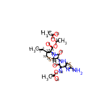 C/C=C/C1=C(C(=O)OC(C)OC(C)=O)N2C(=O)[C@@H](NC(=O)/C(=N\OC(C)=O)c3csc(N)n3)[C@H]2SC1